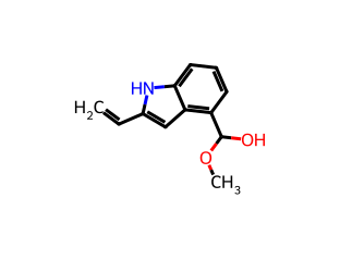 C=Cc1cc2c(C(O)OC)cccc2[nH]1